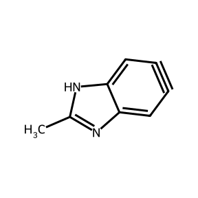 Cc1nc2cc#ccc2[nH]1